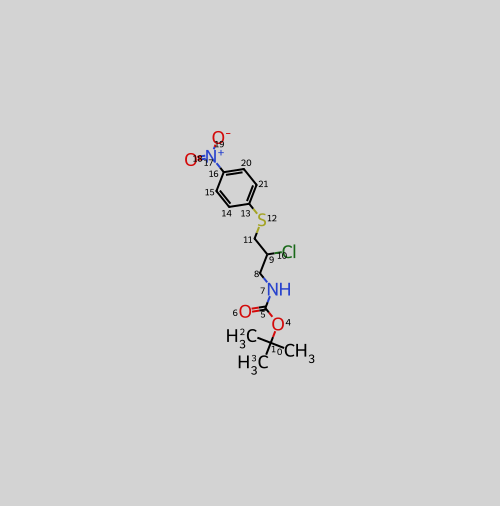 CC(C)(C)OC(=O)NCC(Cl)CSc1ccc([N+](=O)[O-])cc1